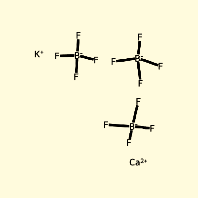 F[B-](F)(F)F.F[B-](F)(F)F.F[B-](F)(F)F.[Ca+2].[K+]